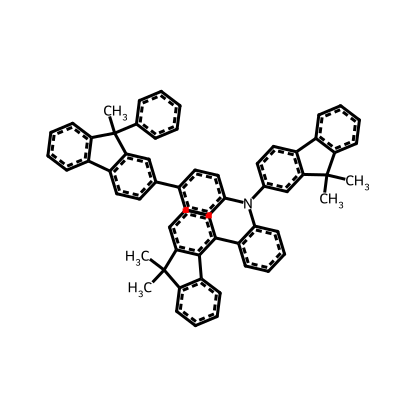 CC1(C)c2ccccc2-c2ccc(N(c3ccc(-c4ccc5c(c4)C(C)(c4ccccc4)c4ccccc4-5)cc3)c3ccccc3-c3cccc4c3-c3ccccc3C4(C)C)cc21